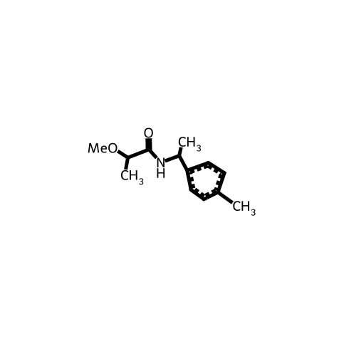 COC(C)C(=O)NC(C)c1ccc(C)cc1